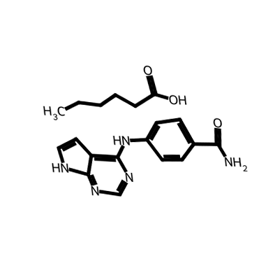 CCCCCC(=O)O.NC(=O)c1ccc(Nc2ncnc3[nH]ccc23)cc1